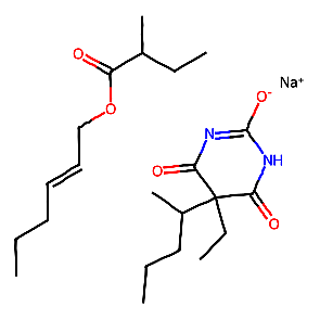 CCC/C=C/COC(=O)C(C)CC.CCCC(C)C1(CC)C(=O)N=C([O-])NC1=O.[Na+]